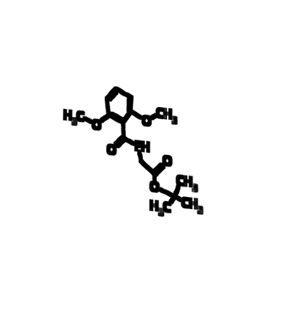 COc1cccc(OC)c1C(=O)PCC(=O)OC(C)(C)C